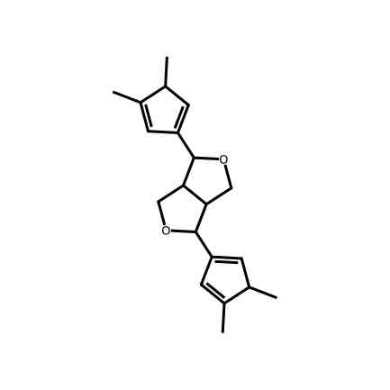 CC1=CC(C2OCC3C(C4=CC(C)C(C)=C4)OCC23)=CC1C